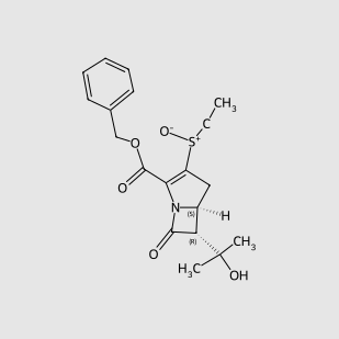 CC[S+]([O-])C1=C(C(=O)OCc2ccccc2)N2C(=O)[C@@H](C(C)(C)O)[C@@H]2C1